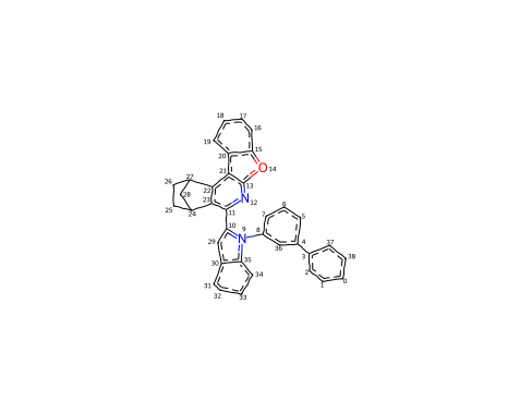 c1ccc(-c2cccc(-n3c(-c4nc5oc6ccccc6c5c5c4C4CCC5C4)cc4ccccc43)c2)cc1